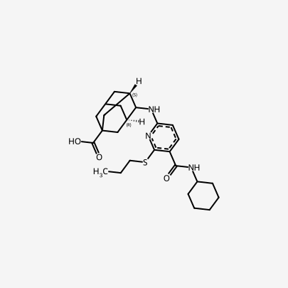 CCCSc1nc(NC2[C@@H]3CC4C[C@H]2CC(C(=O)O)(C4)C3)ccc1C(=O)NC1CCCCC1